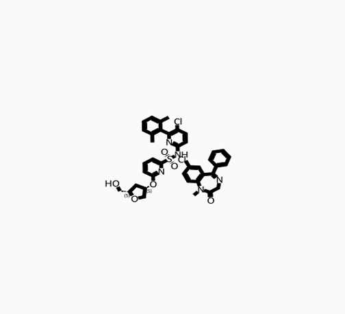 CN1C(=O)CN=C(c2ccccc2)c2cc(Cl)ccc21.Cc1cccc(C)c1-c1nc(NS(=O)(=O)c2cccc(O[C@@H]3CO[C@H](CO)C3)n2)ccc1Cl